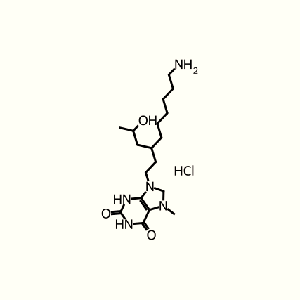 CC(O)CC(CCCCCCN)CCN1CN(C)c2c1[nH]c(=O)[nH]c2=O.Cl